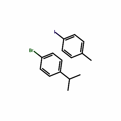 CC(C)c1ccc(Br)cc1.Cc1ccc(I)cc1